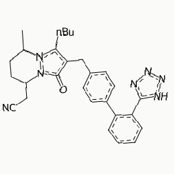 CCCCc1c(Cc2ccc(-c3ccccc3-c3nnn[nH]3)cc2)c(=O)n2n1C(C)CCC2CC#N